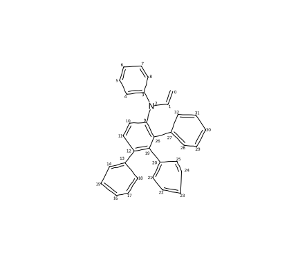 C=CN(c1ccccc1)c1ccc(-c2ccccc2)c(-c2ccccc2)c1-c1ccccc1